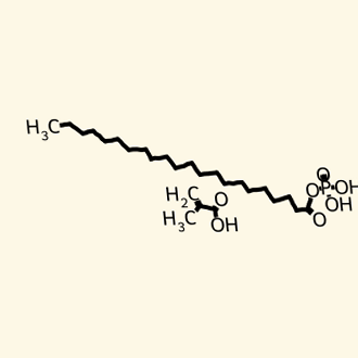 C=C(C)C(=O)O.CCCCCCCCCCCCCCCCCCCCCC(=O)OP(=O)(O)O